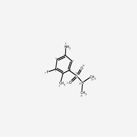 Cc1c(F)cc(N)cc1S(=O)(=O)N(C)C